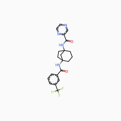 O=C(NC12CCCC(NC(=O)c3cnccn3)(CC1)C2)c1cccc(C(F)(F)F)c1